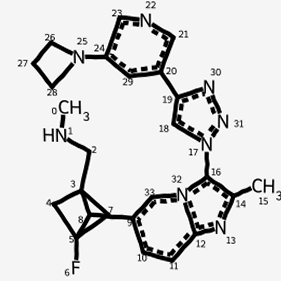 CNCC12CC(F)(C1)C2c1ccc2nc(C)c(-n3cc(-c4cncc(N5CCC5)c4)nn3)n2c1